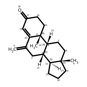 C=C1C[C@@H]2[C@@H](CC[C@]3(C)CCC[C@@H]23)[C@@]2(C)CCC(=O)C=C12